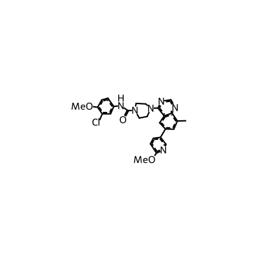 COc1ccc(-c2cc(C)c3ncnc(N4CCN(C(=O)Nc5ccc(OC)c(Cl)c5)CC4)c3c2)cn1